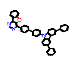 c1ccc(-c2ccc3c(c2)c2cc(-c4ccccc4)ccc2n3-c2ccc(-c3ccc(-c4ncnc5c4oc4ccccc45)cc3)cc2)cc1